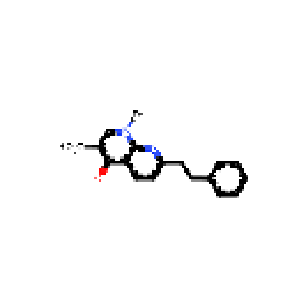 CCn1cc(C(=O)O)c(=O)c2ccc(CCc3ccccc3)nc21